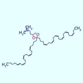 CC/C=C\C/C=C\C/C=C\C/C=C\C/C=C\C/C=C\CCCC1(CCC/C=C\C/C=C\C/C=C\C/C=C\C=C\CCCC)OCC(CCN(C)C)O1